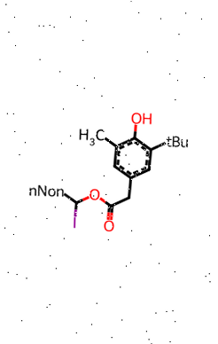 CCCCCCCCCC(I)OC(=O)Cc1cc(C)c(O)c(C(C)(C)C)c1